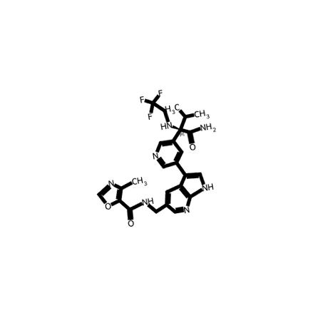 Cc1ncoc1C(=O)NCc1cnc2[nH]cc(-c3cncc([C@@](NCC(F)(F)F)(C(N)=O)C(C)C)c3)c2c1